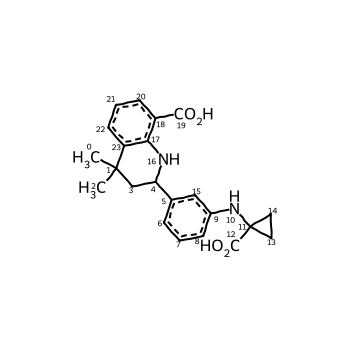 CC1(C)CC(c2cccc(NC3(C(=O)O)CC3)c2)Nc2c(C(=O)O)cccc21